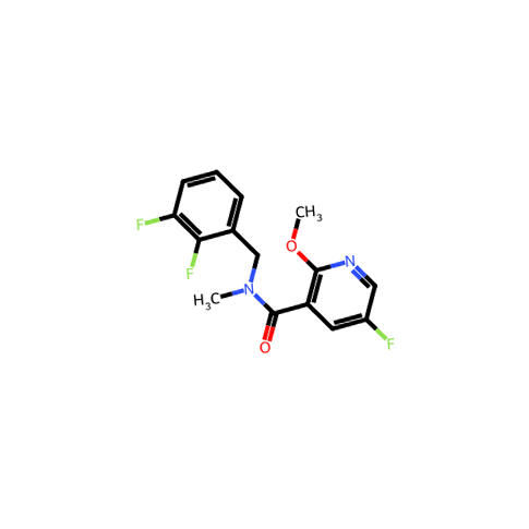 COc1ncc(F)cc1C(=O)N(C)Cc1cccc(F)c1F